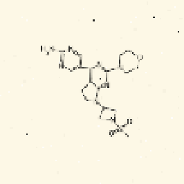 CS(=O)(=O)N1CC(N2CCc3c(-c4cnc(N)nc4)nc(N4CCOCC4)nc32)C1